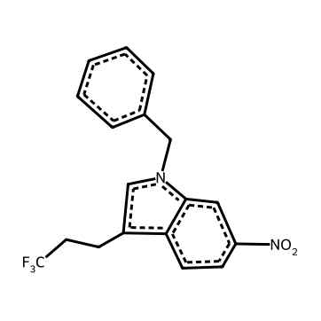 O=[N+]([O-])c1ccc2c(CCC(F)(F)F)cn(Cc3ccccc3)c2c1